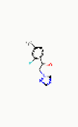 O=C(Cn1cncn1)c1ccc(C(F)(F)F)cc1F